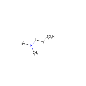 CC(C)N(C)CCS(=O)(=O)O